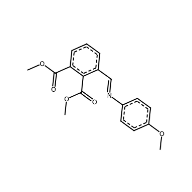 COC(=O)c1cccc(C=Nc2ccc(OC)cc2)c1C(=O)OC